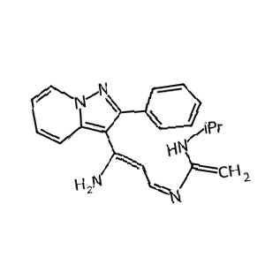 C=C(/N=C\C=C(/N)c1c(-c2ccccc2)nn2ccccc12)NC(C)C